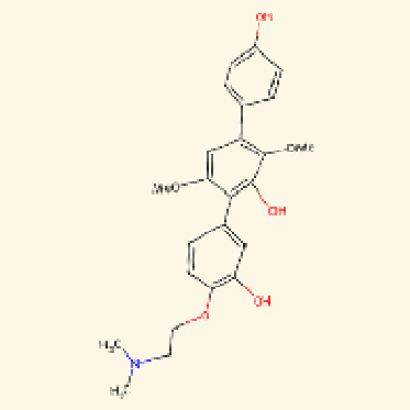 COc1cc(-c2ccc(O)cc2)c(OC)c(O)c1-c1ccc(OCCN(C)C)c(O)c1